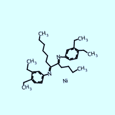 CCCCCCC(=Nc1ccc(CC)c(CC)c1)C(CCCC)=Nc1ccc(CC)c(CC)c1.[Ni]